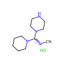 Cl.N#C/N=C(/N1CCCCC1)N1CCNCC1